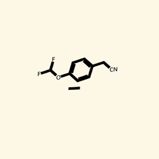 CC.N#CCc1ccc(OC(F)F)cc1